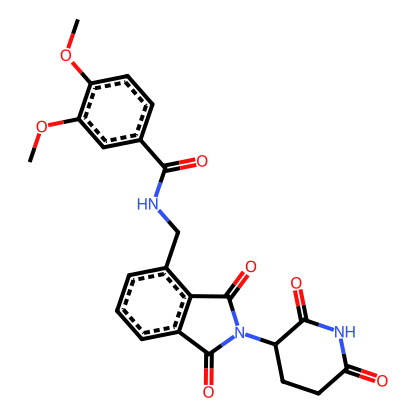 COc1ccc(C(=O)NCc2cccc3c2C(=O)N(C2CCC(=O)NC2=O)C3=O)cc1OC